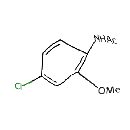 COc1cc(Cl)ccc1NC(C)=O